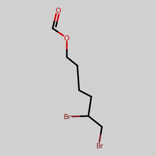 O=COCCCCC(Br)CBr